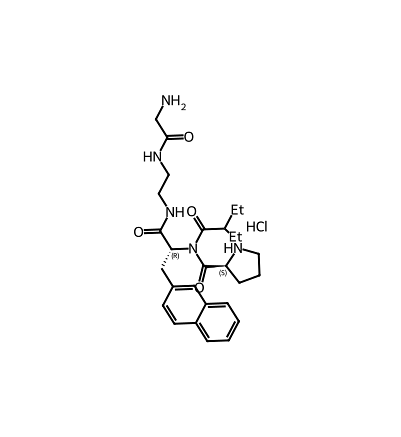 CCC(CC)C(=O)N(C(=O)[C@@H]1CCCN1)[C@H](Cc1ccc2ccccc2c1)C(=O)NCCNC(=O)CN.Cl